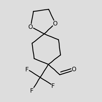 O=CC1(C(F)(F)F)CCC2(CC1)OCCO2